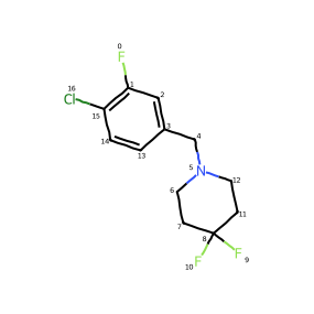 Fc1cc(CN2CCC(F)(F)CC2)ccc1Cl